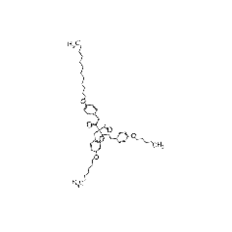 CCCCCCCCCCCCOc1ccc(CC(=O)C([C]=O)(Cc2ccc(OCCCCCCC)cc2)C(=O)CCc2ccc(OCCCCC)cc2)cc1